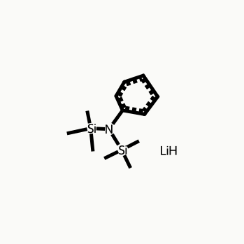 C[Si](C)(C)N(c1ccccc1)[Si](C)(C)C.[LiH]